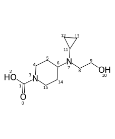 O=C(O)N1CCC(N(CCO)C2CC2)CC1